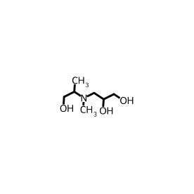 CC(CO)N(C)CC(O)CO